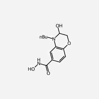 CCCCN1c2cc(C(=O)NO)ccc2OCC1O